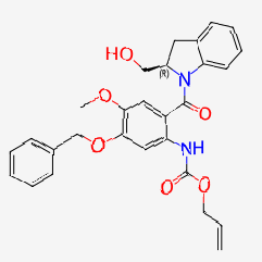 C=CCOC(=O)Nc1cc(OCc2ccccc2)c(OC)cc1C(=O)N1c2ccccc2C[C@@H]1CO